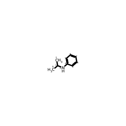 C[CH](C)[AlH][c]1ccccc1